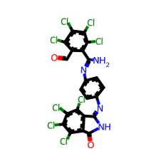 N/C(=N\c1ccc(/N=C2/NC(=O)c3c(Cl)c(Cl)c(Cl)c(Cl)c32)cc1)c1c(Cl)c(Cl)c(Cl)c(Cl)c1C=O